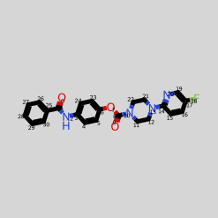 O=C(Nc1ccc(OC(=O)N2CCN(c3ccc(F)cn3)CC2)cc1)c1ccccc1